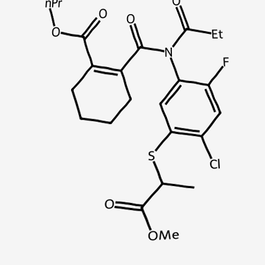 CCCOC(=O)C1=C(C(=O)N(C(=O)CC)c2cc(SC(C)C(=O)OC)c(Cl)cc2F)CCCC1